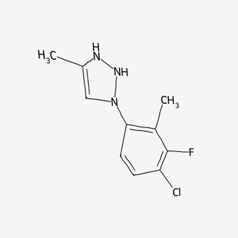 CC1=CN(c2ccc(Cl)c(F)c2C)NN1